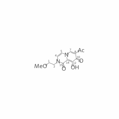 COCCn1ccn2cc(C(C)=O)c(=O)c(O)c2c1=O